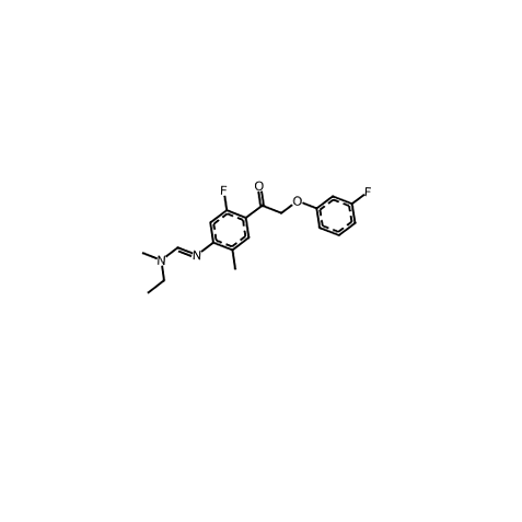 CCN(C)/C=N/c1cc(F)c(C(=O)COc2cccc(F)c2)cc1C